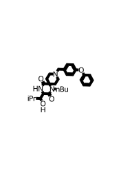 CCCCN1C(=O)C(C(O)C(C)C)NC(=O)C12CCN(Cc1ccc(Oc3ccccc3)cc1)CC2